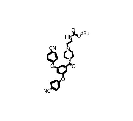 CC(C)(C)OC(=O)NCCN1CCN(C(=O)c2cc(Oc3ccc(C#N)cc3)cc(Oc3ccc(C#N)cc3)c2)CC1